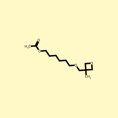 CC(=O)OCCCCCCOCC1(C)COC1